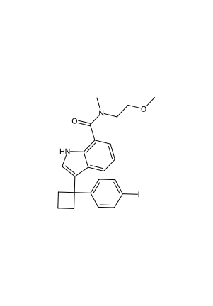 COCCN(C)C(=O)c1cccc2c(C3(c4ccc(I)cc4)CCC3)c[nH]c12